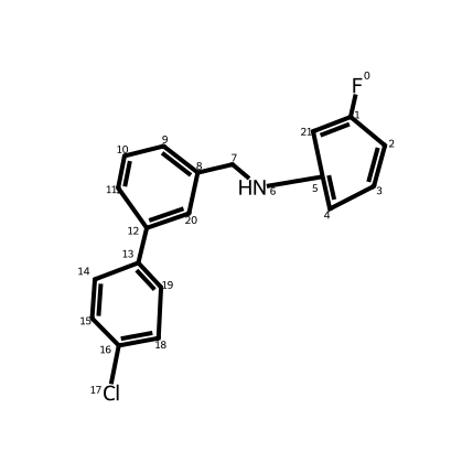 Fc1cccc(NCc2cc[c]c(-c3ccc(Cl)cc3)c2)c1